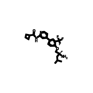 CC(C)C[C@](C)(N)COc1ccc(-c2ccnc(NC(=O)C3CCC3)c2)cc1C(F)(F)F